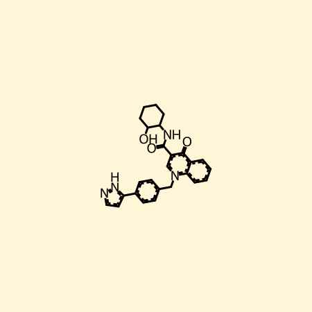 O=C(NC1CCCCC1O)c1cn(Cc2ccc(-c3ccn[nH]3)cc2)c2ccccc2c1=O